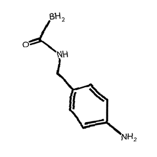 BC(=O)NCc1ccc(N)cc1